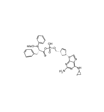 CON(c1ccccc1)[C@@H](Cc1ccccc1)C(=O)OP(=O)(O)OC[C@@H]1C=C[C@H](n2cnc3c(NC4CC4)nc(N)nc32)C1